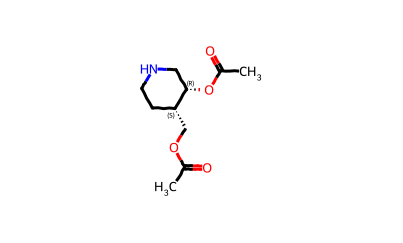 CC(=O)OC[C@@H]1CCNC[C@@H]1OC(C)=O